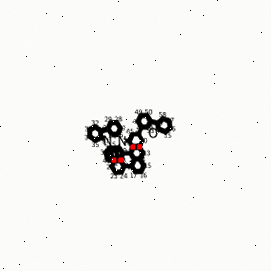 C1=CC(N(c2ccccc2-c2cccc3cccc(-c4ccccc4)c23)c2cccc3c4ccccc4n(-c4ccccc4)c23)=CC(c2cccc3c2oc2ccccc23)C1